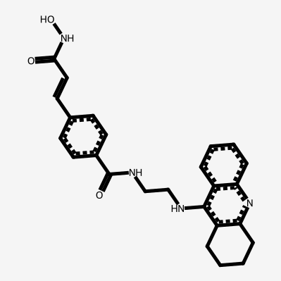 O=C(C=Cc1ccc(C(=O)NCCNc2c3c(nc4ccccc24)CCCC3)cc1)NO